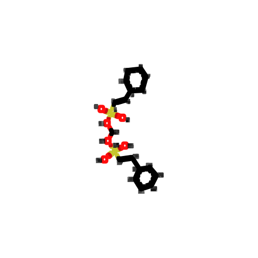 O=S(=O)(C=Cc1ccccc1)OCOS(=O)(=O)C=Cc1ccccc1